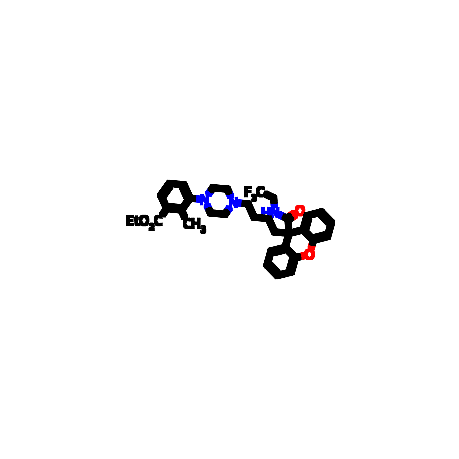 CCOC(=O)c1cccc(N2CCN(CCCCC3(C(=O)NCC(F)(F)F)c4ccccc4Oc4ccccc43)CC2)c1C